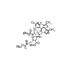 COC(=O)C1=C[C@](CC(C)NC(=O)OC(C)(C)C)(NC(=O)CC2N=C(c3ccc(Cl)cc3)c3c(sc(C)c3C)-n3c(C)nnc32)CC=C1CCCNC(=O)OC(C)(C)C